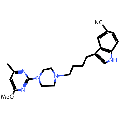 COc1cc(C)nc(N2CCN(CCCCc3c[nH]c4ccc(C#N)cc34)CC2)n1